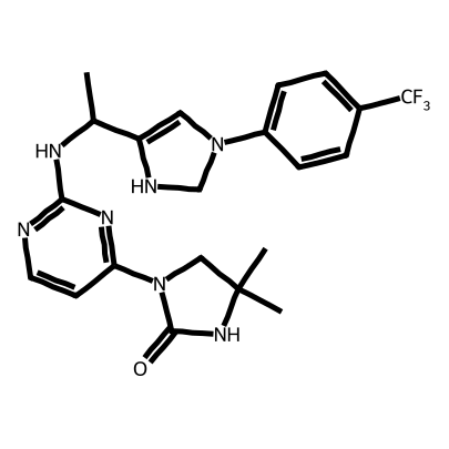 CC(Nc1nccc(N2CC(C)(C)NC2=O)n1)C1=CN(c2ccc(C(F)(F)F)cc2)CN1